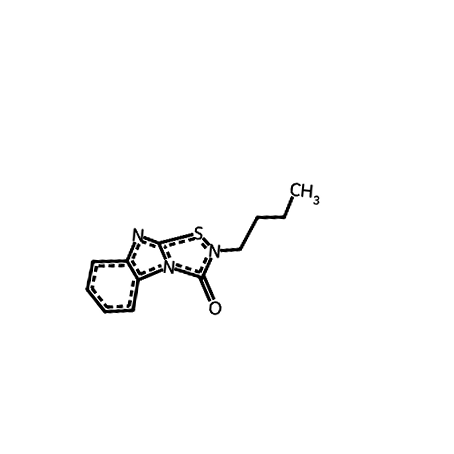 CCCCn1sc2nc3ccccc3n2c1=O